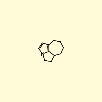 c1cn2c3c1CCCCC3CC2